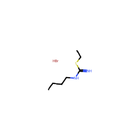 Br.CCCCNC(=N)SCC